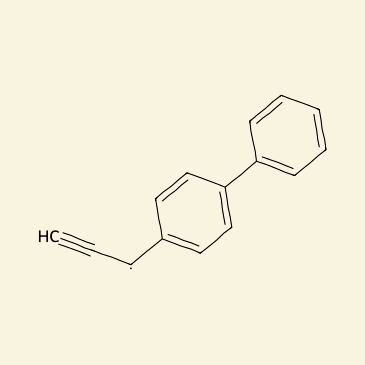 C#C[CH]c1ccc(-c2ccccc2)cc1